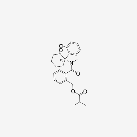 CC(C)C(=O)OCc1ccccc1C(=O)N(C)[C@]1(c2ccccc2Cl)CCCCC1=O